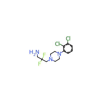 NCC(F)(F)CN1CCN(c2cccc(Cl)c2Cl)CC1